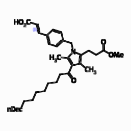 CCCCCCCCCCCCCCCCCC(=O)c1c(C)c(CCC(=O)OC)n(Cc2ccc(/C=C/C(=O)O)cc2)c1C